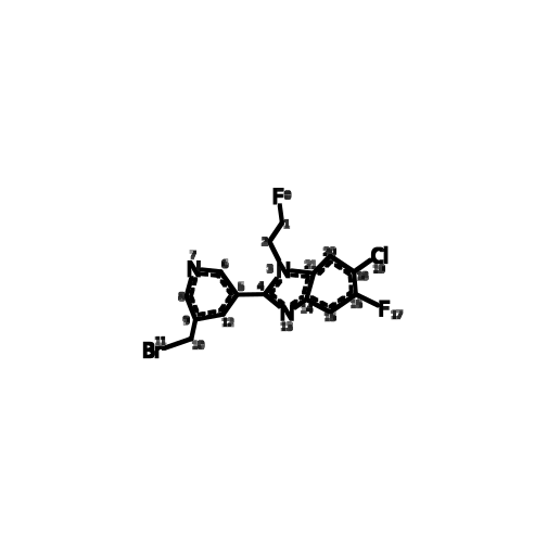 FCCn1c(-c2cncc(CBr)c2)nc2cc(F)c(Cl)cc21